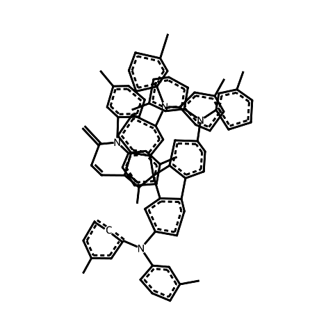 C=C(/C=C\C1=C(C)C2(c3cc(N(c4cccc(C)c4)c4cccc(C)c4)ccc31)c1cc(N(c3cccc(C)c3)c3cccc(C)c3)ccc1-c1ccc(N(c3cccc(C)c3)c3cccc(C)c3)cc12)N(c1cccc(C)c1)c1cccc(C)c1